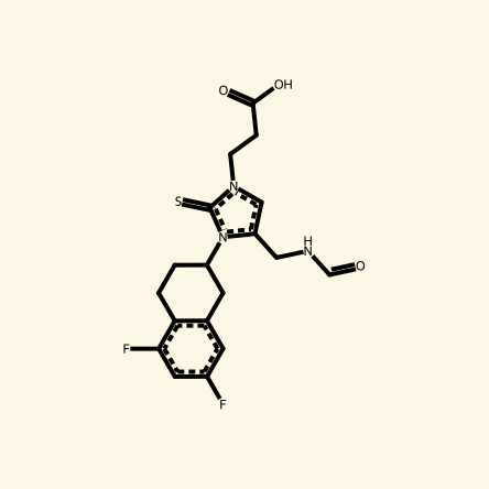 O=CNCc1cn(CCC(=O)O)c(=S)n1C1CCc2c(F)cc(F)cc2C1